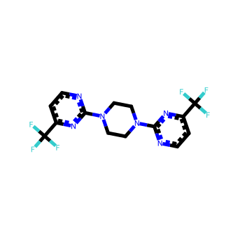 FC(F)(F)c1ccnc(N2CCN(c3nccc(C(F)(F)F)n3)CC2)n1